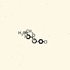 CN(C)c1cc(C(=O)N2CCC[C@@H](c3ccc(Cl)cc3)C2)ccn1